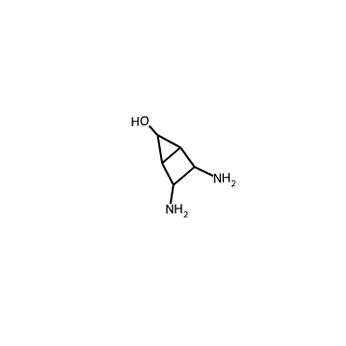 NC1C(N)C2C(O)C12